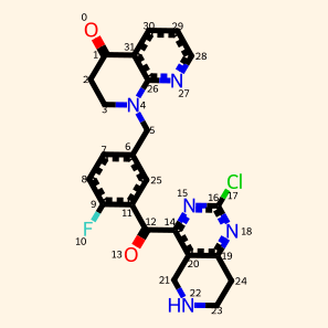 O=C1CCN(Cc2ccc(F)c(C(=O)c3nc(Cl)nc4c3CNCC4)c2)c2ncccc21